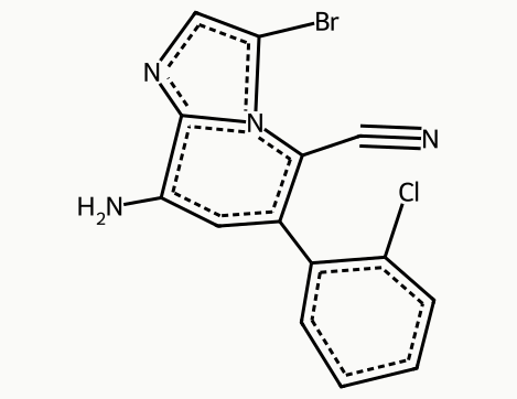 N#Cc1c(-c2ccccc2Cl)cc(N)c2ncc(Br)n12